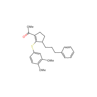 COC(=O)C1=C(Sc2ccc(OC)c(OC)c2)C(CCCc2ccccc2)CC1